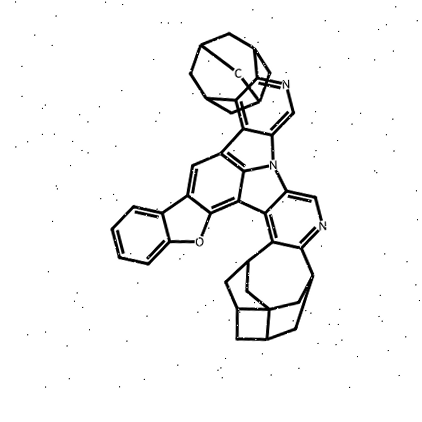 c1ccc2c(c1)oc1c2cc2c3c4c(ncc3n3c5cnc6c(c5c1c23)C1CC2CC3CC6CC32C1)C1CC2CC(C1)CC4C2